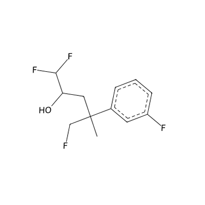 CC(CF)(CC(O)C(F)F)c1cccc(F)c1